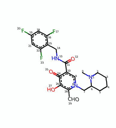 CN1CCCCC1Cn1cc(C(=O)NCc2c(F)cc(F)cc2F)c(=O)c(O)c1C=O